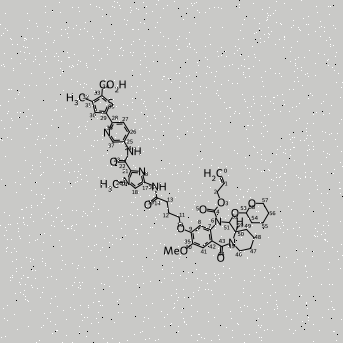 C=CCOC(=O)N1c2cc(OCCCC(=O)Nc3cn(C)c(C(=O)Nc4ccc(-c5cc(C)c(C(=O)O)s5)nc4)n3)c(OC)cc2C(=O)N2CCCC[C@H]2C1OC1CCCCO1